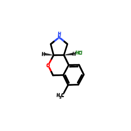 Cc1cccc2c1CO[C@H]1CNC[C@@H]21.Cl